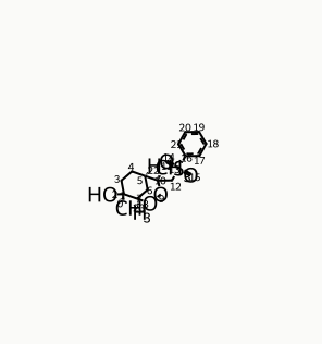 C[C@@]1(O)CC[C@@H]2C[C@H]1OO[C@@]2(C)CS(=O)(=O)c1ccccc1